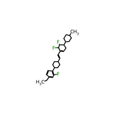 CCc1ccc(C2CCC(/C=C/C3=CCC(C4CCC(C)CC4)C(F)C3F)CC2)c(F)c1